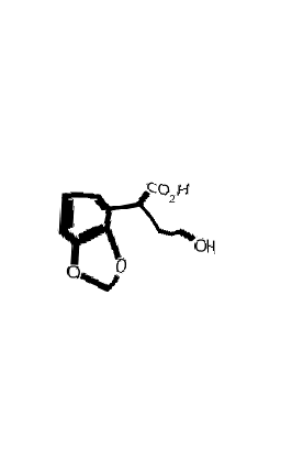 O=C(O)C(CCO)c1cccc2c1OCO2